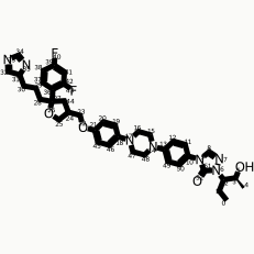 CCC([C@H](C)O)n1ncn(-c2ccc(N3CCN(c4ccc(OCC5COC(CCCC6C=NC=N6)(c6ccc(F)cc6F)C5)cc4)CC3)cc2)c1=O